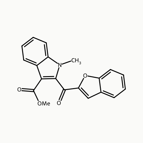 COC(=O)c1c(C(=O)c2cc3ccccc3o2)n(C)c2ccccc12